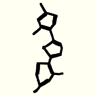 Cc1ccc(-c2ccc(-c3ccc(C)cc3C)o2)c(C)c1